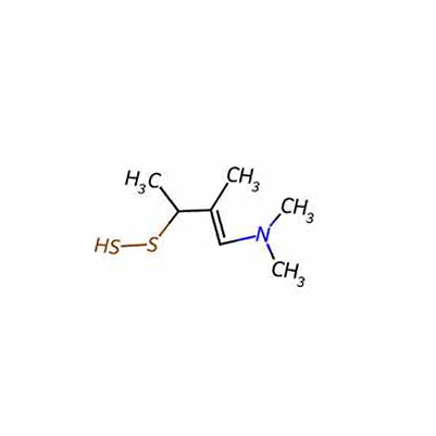 C/C(=C\N(C)C)C(C)SS